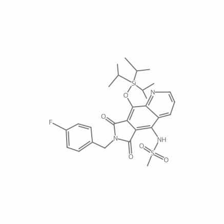 CC(C)[Si](Oc1c2c(c(NS(C)(=O)=O)c3cccnc13)C(=O)N(Cc1ccc(F)cc1)C2=O)(C(C)C)C(C)C